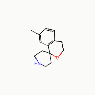 Cc1ccc2c(c1)C1(CCNCC1)OCC2